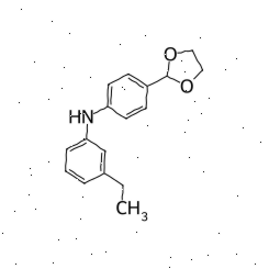 CCc1cccc(Nc2ccc(C3OCCO3)cc2)c1